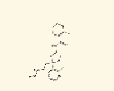 C=CNCCC(CC)(CCNC(=O)C1=C(C)CCCC1)c1ccccc1C